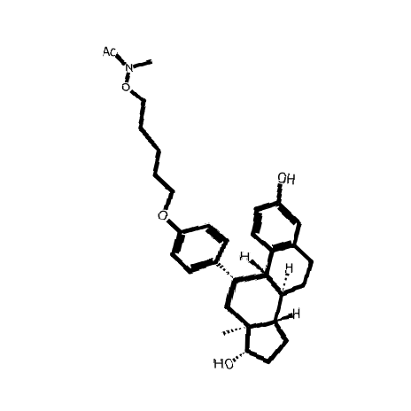 CC(=O)N(C)OCCCCCOc1ccc([C@H]2C[C@]3(C)[C@@H](O)CC[C@H]3[C@@H]3CCc4cc(O)ccc4[C@H]32)cc1